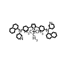 CC(C)(C)n1c(-c2ccc(N(c3cccnc3)c3cccc4ccccc34)cc2)ccc1-c1ccc(N(c2cccnc2)c2cccc3ccccc23)cc1